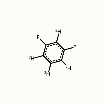 [2H]c1c([2H])c(F)c([2H])c(F)c1[2H]